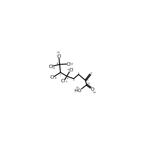 C=C(CCC(Cl)(Cl)C(Cl)C(Cl)(Cl)Cl)C(=O)O